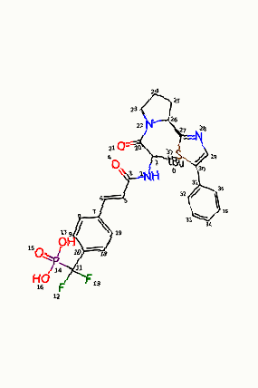 CC(C)(C)C(NC(=O)/C=C/c1ccc(C(F)(F)P(=O)(O)O)cc1)C(=O)N1CCC[C@H]1c1ncc(-c2ccccc2)s1